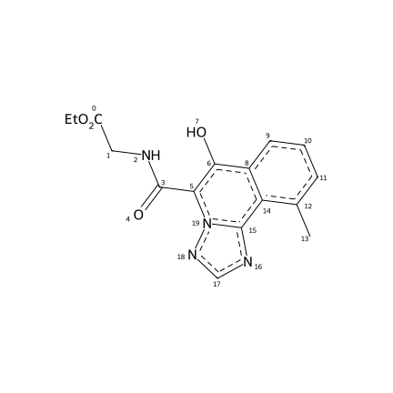 CCOC(=O)CNC(=O)c1c(O)c2cccc(C)c2c2ncnn12